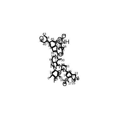 Cc1cc(-n2nc3c(c2-n2ccn(-c4cc(P(C)(C)=O)c5c(cnn5C)c4)c2=O)C(C)N(C(=O)c2cc4cc(C5CCOCC5)ccc4n2C2(c4noc(=O)[nH]4)CC2C)CC3)cc(C)c1F